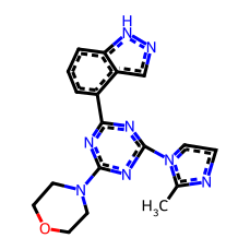 Cc1nccn1-c1nc(-c2cccc3[nH]ncc23)nc(N2CCOCC2)n1